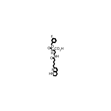 O=C(CCCCc1ccc2c(n1)NCCC2)NCCC(NC(=O)OCc1cccc(F)c1)C(=O)O